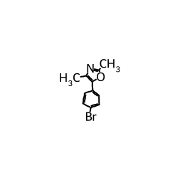 Cc1nc(C)c(-c2ccc(Br)cc2)o1